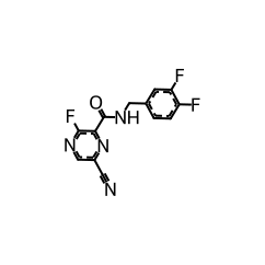 N#Cc1cnc(F)c(C(=O)NCc2ccc(F)c(F)c2)n1